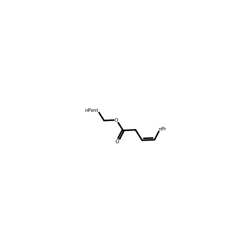 CCC/C=C\CC(=O)OCCCCCC